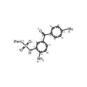 CCCC(C)S(=O)(=O)Nc1cc(C(=O)c2ccc(C(C)(C)C)cc2)ccc1N